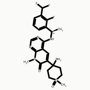 C[C@@H](Nc1ncnc2c1cc(C1(N)CCP(C)(=O)CC1)c(=O)n2C)c1cccc(C(F)F)c1F